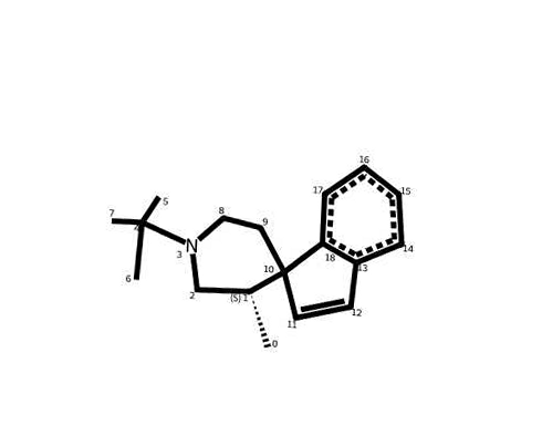 C[C@@H]1CN(C(C)(C)C)CCC12C=Cc1ccccc12